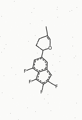 CC1=COC(c2cc(F)c3c(F)c(F)c(F)cc3c2)CC1